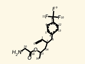 C=CC(Cc1ccc(C(F)(F)F)cc1)CC(C)OC(=O)CN